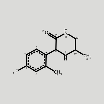 Cc1cc(F)ccc1C1NC(C)CNC1=O